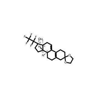 C[C@]12CC=C3C4=C(CC[C@H]3[C@@H]1CC[C@@]2(O)C(F)(F)C(F)(F)F)CC1(CC4)OCCO1